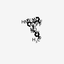 COc1ccc(-c2nnc(C(=O)N3CCc4[nH]cnc4[C@H]3c3cc4c(C(F)(F)F)cccn4n3)o2)nc1